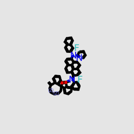 C=C1/C=C\C=C/CC2(c3ccccc31)c1ccccc1-c1c(N(c3ccccc3F)c3ccc4ccc5c(N(c6ccc7ccccc7c6)c6ncccc6F)ccc6ccc3c4c65)cccc12